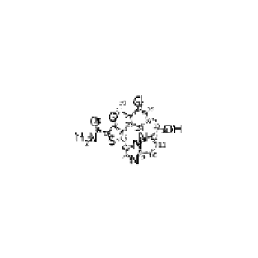 C[C@@H](Oc1cc(-c2cnc3ccc(CO)nn23)sc1C(N)=O)c1ccccc1Cl